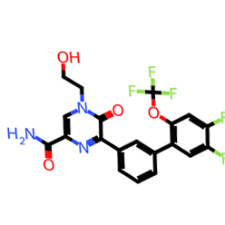 NC(=O)c1cn(CCO)c(=O)c(-c2cccc(-c3cc(F)c(F)cc3OC(F)(F)F)c2)n1